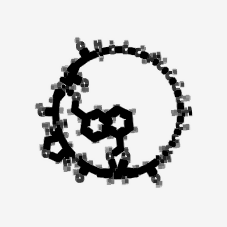 O=C1NCCCNCCCCNCCCNC(=O)c2ccc(n(OCc3ccccc3)c2=O)C(=O)N[C@@H]2COC[C@@H]2NC(=O)c2ccc1c(=O)n2OCc1ccccc1